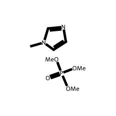 COP(=O)(OC)OC.Cn1ccnc1